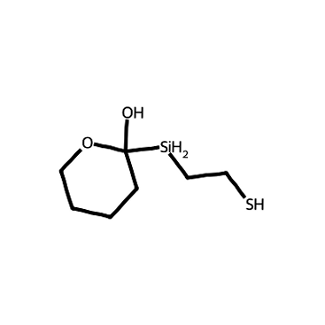 OC1([SiH2]CCS)CCCCO1